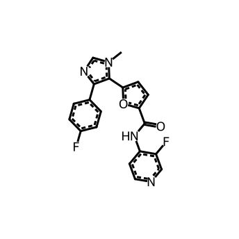 Cn1cnc(-c2ccc(F)cc2)c1-c1ccc(C(=O)Nc2ccncc2F)o1